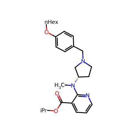 CCCCCCOc1ccc(CN2CC[C@H](N(C)c3ncccc3C(=O)OC(C)C)C2)cc1